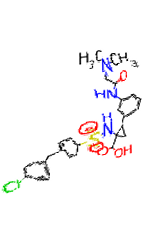 CN(C)CC(=O)Nc1cccc(C2CC2(NS(=O)(=O)c2ccc(-c3ccc(Cl)cc3)cc2)C(=O)O)c1